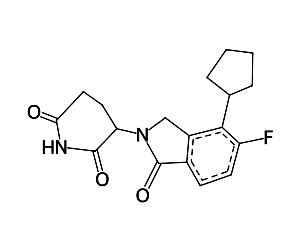 O=C1CCC(N2Cc3c(ccc(F)c3C3CCCC3)C2=O)C(=O)N1